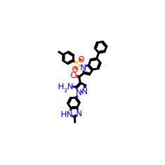 Cc1ccc(S(=O)(=O)n2c(C(=O)c3cnn(-c4ccc5[nH]c(C)nc5c4)c3N)cc3ccc(-c4ccccc4)cc32)cc1